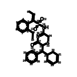 C/C=C(\c1ccccc1CC)S(=O)(=O)NC1=NC(=O)C(C(c2ccccc2)C2C=CC=CC2)SC1